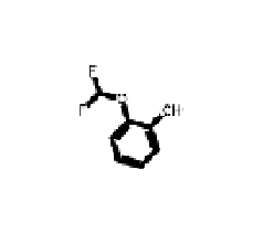 [CH]c1ccccc1OC(F)F